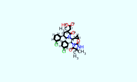 CC1(C)NC(=O)N(C[C@H](C2CC2)N2C(=O)[C@](C)(CC(=O)O)C[C@H](c3cccc(Cl)c3)[C@H]2c2ccc(Cl)cc2)C1=O